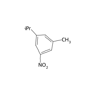 C[C](C)c1cc(C)cc([N+](=O)[O-])c1